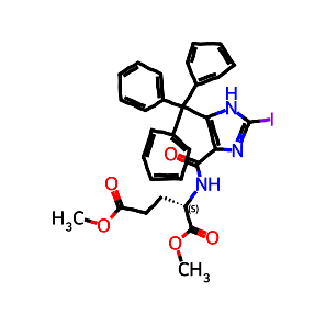 COC(=O)CC[C@H](NC(=O)c1nc(I)[nH]c1C(c1ccccc1)(c1ccccc1)c1ccccc1)C(=O)OC